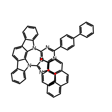 c1ccc(-c2ccc(-c3nc(-c4ccccc4)nc(-n4c5ccccc5c5ccc6c7ccccc7n(-c7nc8c(ccc9ccc%10ccccc%10c98)o7)c6c54)n3)cc2)cc1